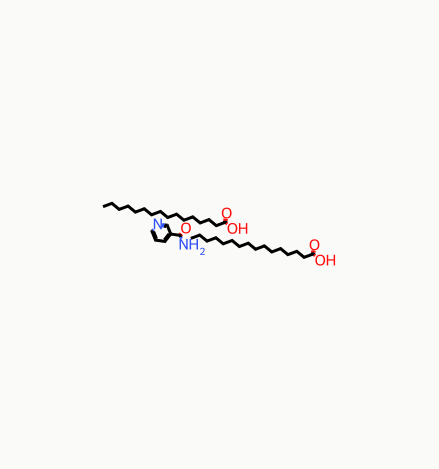 CCCCCCCCCCCCCCCC(=O)O.CCCCCCCCCCCCCCCC(=O)O.NC(=O)c1cccnc1